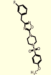 COc1ccc(S(=O)(=O)N2CCN(c3nc(Cc4cccc(F)c4)no3)CC2)cc1